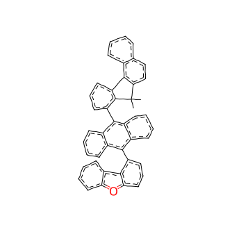 CC1(C)c2ccc3ccccc3c2-c2cccc(-c3c4ccccc4c(-c4cccc5oc6ccccc6c45)c4ccccc34)c21